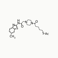 CC(=O)SCCCCC(=O)N1CCN(CC(=O)Nc2nc3ccc(C)cc3s2)CC1